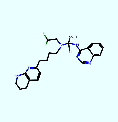 CCC(Nc1ncnc2ccccc12)(C(=O)O)N(CCCCc1ccc2c(n1)NCCC2)CC(F)F